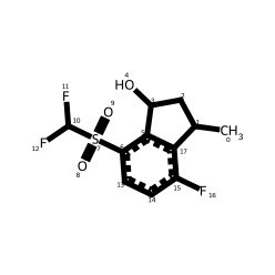 CC1CC(O)c2c(S(=O)(=O)C(F)F)ccc(F)c21